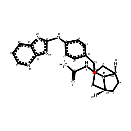 CC(=O)NC1C[C@H]2CC[C@@H](C1)N2CCc1ccc(Oc2nc3cccnc3s2)cc1